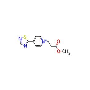 COC(=O)CC[n+]1ccc(-c2ncns2)cc1